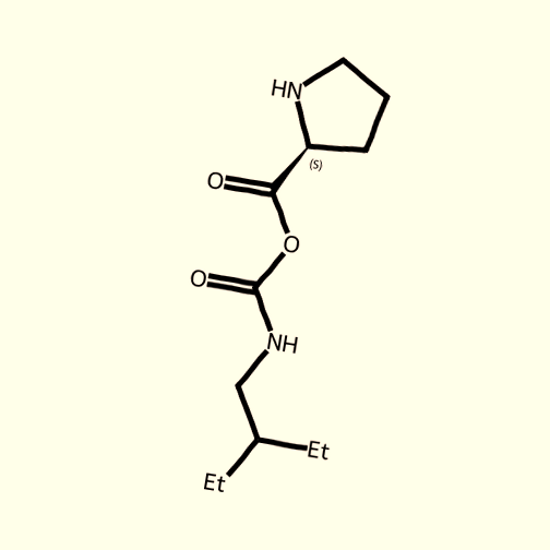 CCC(CC)CNC(=O)OC(=O)[C@@H]1CCCN1